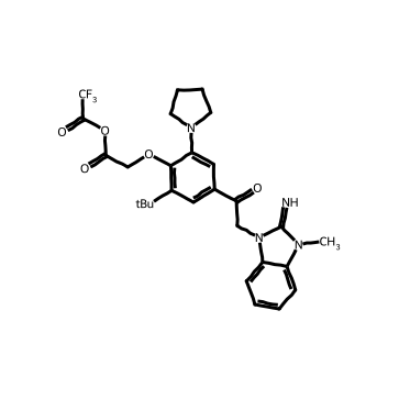 Cn1c(=N)n(CC(=O)c2cc(N3CCCC3)c(OCC(=O)OC(=O)C(F)(F)F)c(C(C)(C)C)c2)c2ccccc21